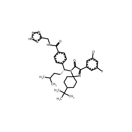 CC(C)CC[C@H](c1ccc(C(=O)NCc2nn[nH]n2)cc1)N1C(=O)C(c2cc(F)cc(Cl)c2)=NC12CCC(C(C)(C)C)CC2